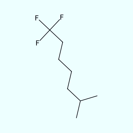 CC(C)CCCCC(F)(F)F